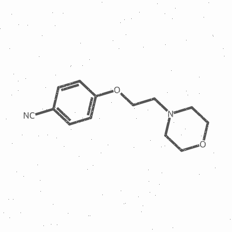 N#Cc1ccc(OCCN2CCOCC2)cc1